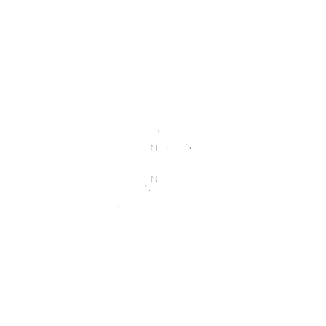 CN(c1ccc(Cl)nn1)C1C[C@H]2CC[C@@H](C1)N2C(=O)O